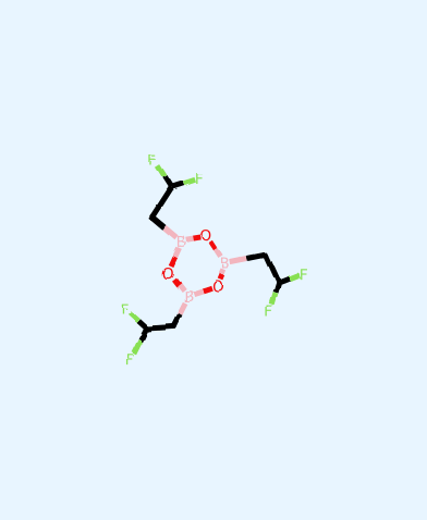 FC(F)CB1OB(CC(F)F)OB(CC(F)F)O1